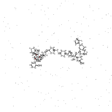 Cc1nccn1-c1ccc([C@H](C)NC(=O)[C@@H]2C[C@@H](O)CN2C(=O)[C@@H](c2cc(N3CCN(CCN4CCC(OC5CC(Oc6cc(N7C8CC[C@@H]7CN(c7cc(-c9ccccc9O)nnc7N)C8)ccn6)C5)CC4)CC3)no2)C(C)C)cc1